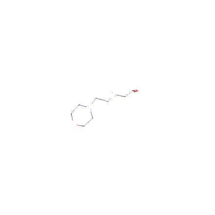 O=CCNCCN1CCOCC1